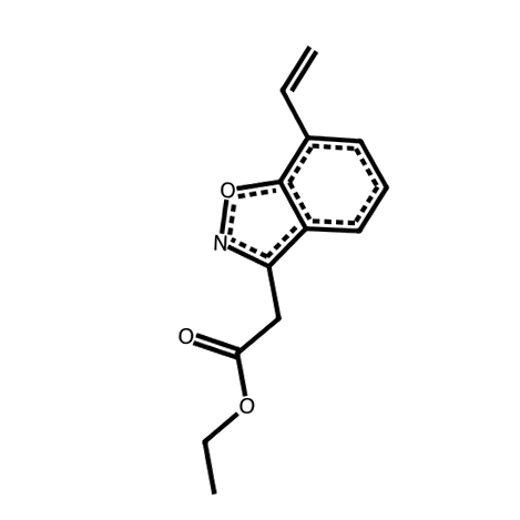 C=Cc1cccc2c(CC(=O)OCC)noc12